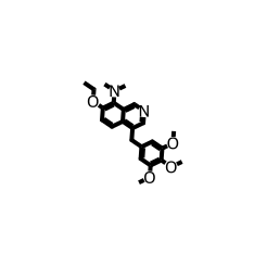 CCOc1ccc2c(Cc3cc(OC)c(OC)c(OC)c3)cncc2c1N(C)C